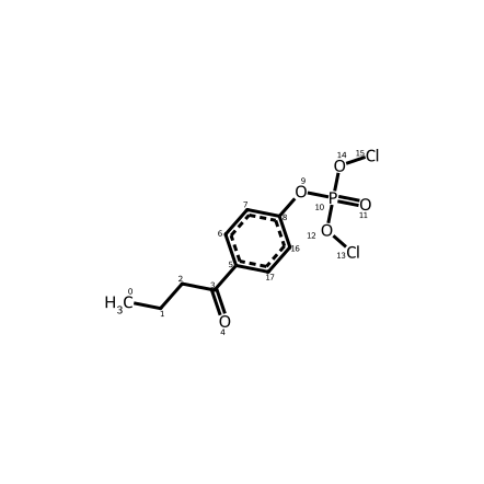 CCCC(=O)c1ccc(OP(=O)(OCl)OCl)cc1